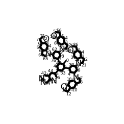 Cc1c(-c2cc(-n3ccc4cc5ccoc5cc43)cc(-n3ccc4cc5ccoc5cc43)c2)cc(-c2cnc3cnncc3c2)cc1-c1cc(-n2ccc3cc4ccoc4cc32)cc(-n2ccc3cc4ccoc4cc32)c1